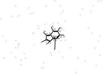 CC1=CC23C(C)=C(C)OC2=C(C)C(C)=C(C)C3=C1C